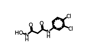 O=C(CC(=O)Nc1ccc(Cl)c(Cl)c1)NO